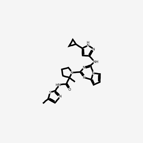 Cc1cnc(NC(=O)C2(C)CCCN2c2nc(Nc3cc(C4CC4)[nH]n3)n3cccc3n2)s1